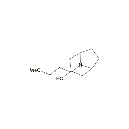 COCCCN1C2CCC1CC(O)C2